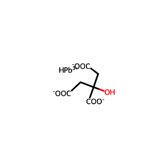 O=C([O-])CC(O)(CC(=O)[O-])C(=O)[O-].[PbH+3]